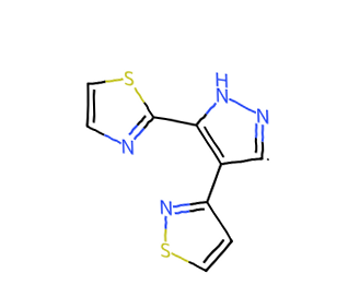 [c]1n[nH]c(-c2nccs2)c1-c1ccsn1